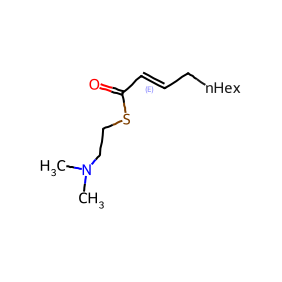 CCCCCCC/C=C/C(=O)SCCN(C)C